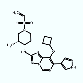 C=CS(=O)(=O)N1CC[C@H](Nc2nc3c(OC4CCC4)c(-c4cn[nH]c4)ncn3n2)[C@H](C)C1